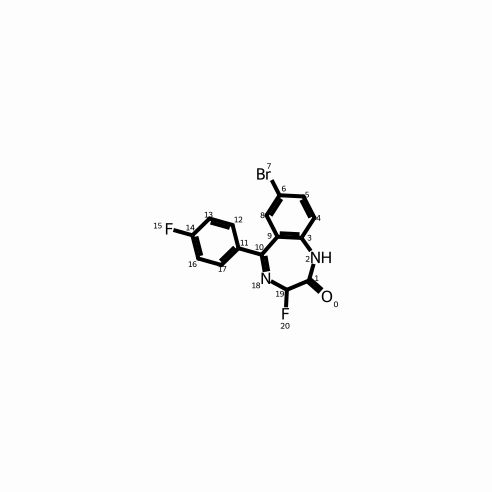 O=C1Nc2ccc(Br)cc2C(c2ccc(F)cc2)=NC1F